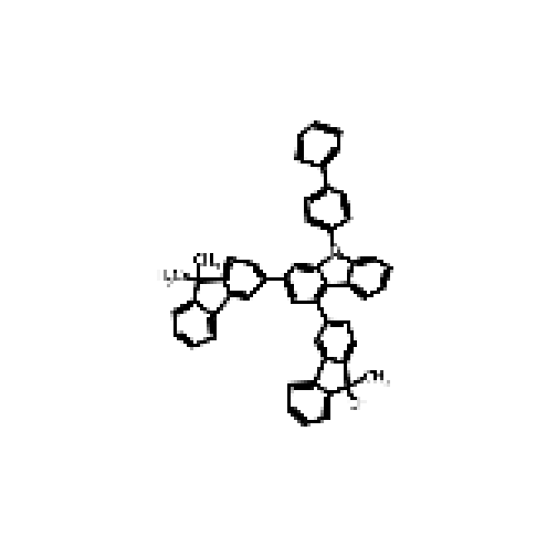 CC1(C)c2ccccc2-c2cc(-c3cc(-c4ccc5c(c4)-c4ccccc4C5(C)C)c4c5ccccc5n(-c5ccc(-c6ccccc6)cc5)c4c3)ccc21